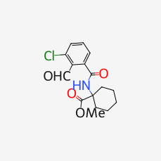 COC(=O)C1(NC(=O)c2cccc(Cl)c2C=O)CCCCC1